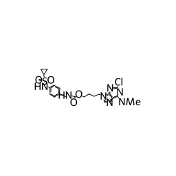 CNc1nc(Cl)nc2c1ncn2CCCCOC(=O)NCc1ccc(NS(=O)(=O)C2CC2)cc1